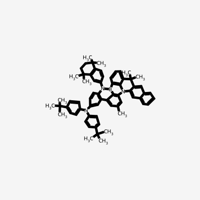 Cc1cc2c3c(c1)N1c4cc5ccccc5cc4C(C)(C)c4cccc(c41)B3N(c1ccc3c(c1)C(C)(C)CCC3(C)C)c1ccc(N(c3ccc(C(C)(C)C)cc3)c3ccc(C(C)(C)C)cc3)cc1-2